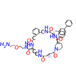 NCCOCCNC(=O)[C@@H]1CCNC(=O)/C=C/C(=O)N2CCC[C@](Cc3ccccc3)(C2)C(=O)N[C@@H](Cc2cccc(-c3ccccc3)c2)C(=O)NCc2ccccc2CC(=O)N1